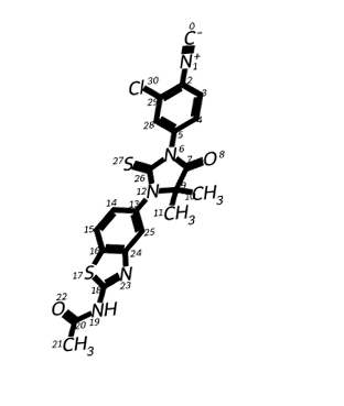 [C-]#[N+]c1ccc(N2C(=O)C(C)(C)N(c3ccc4sc(NC(C)=O)nc4c3)C2=S)cc1Cl